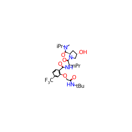 CCC[C@@H](NC(=O)c1ccc(C(F)(F)F)cc1OCC(=O)NC(C)(C)C)C(=O)N1C[C@@H](O)C[C@@H]1C(=O)N(C)C(C)C